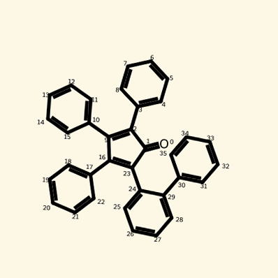 O=C1C(c2ccccc2)=C(c2ccccc2)C(c2ccccc2)=C1c1ccccc1-c1ccccc1